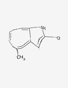 Cc1cccc2[nH]c(Cl)[c]c12